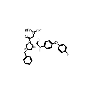 CCCN(CCC)CC(=O)N1C[C@H](Cc2ccccc2)C[C@H]1C(=O)Nc1ccc(Oc2ccc(F)cc2)cc1